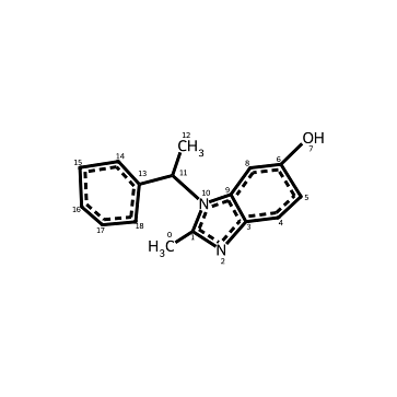 Cc1nc2ccc(O)cc2n1C(C)c1ccccc1